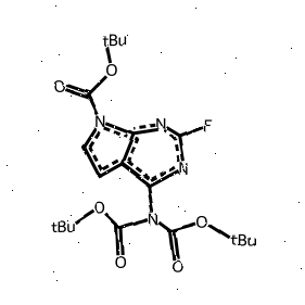 CC(C)(C)OC(=O)N(C(=O)OC(C)(C)C)c1nc(F)nc2c1ccn2C(=O)OC(C)(C)C